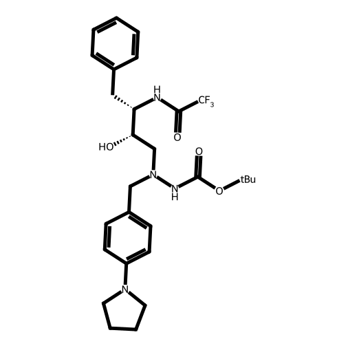 CC(C)(C)OC(=O)NN(Cc1ccc(N2CCCC2)cc1)C[C@H](O)[C@H](Cc1ccccc1)NC(=O)C(F)(F)F